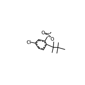 CC(C)(C)C(C)(C)c1ccc(Cl)cc1S(C)(=O)=O